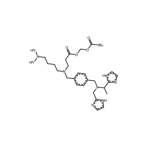 CCCN(CCC)CCCCN(CCC(=O)OCOC(=O)C(C)(C)C)Cc1ccc(CN(Cc2ncc[nH]2)C(C)c2ncc[nH]2)cc1